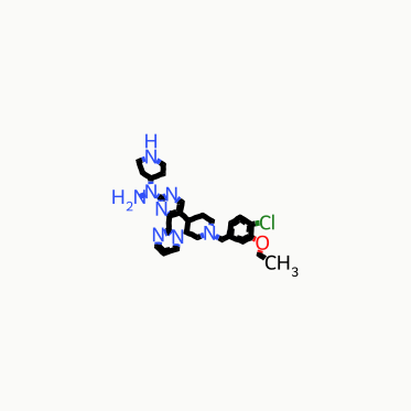 CCOc1cc(CN2CCC(c3cnc(N(N)C4CCNCC4)nc3-c3ncccn3)CC2)ccc1Cl